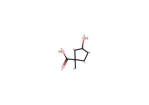 CC1(C(=O)O)CCC(O)C1